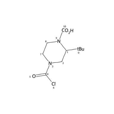 CC(C)(C)C1CN(C(=O)Cl)CCN1C(=O)O